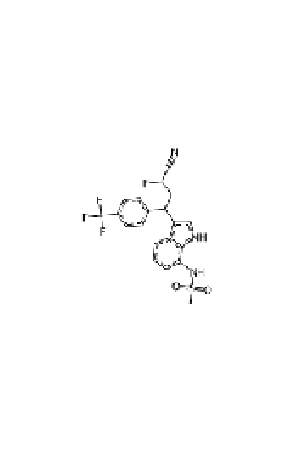 CS(=O)(=O)Nc1cccc2c(C(CC(F)C#N)c3ccc(C(F)(F)F)cc3)c[nH]c12